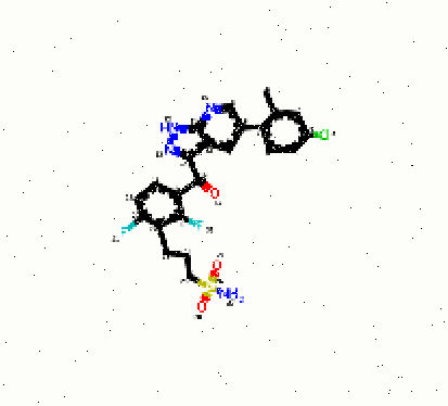 Cc1cc(Cl)ccc1-c1cnc2[nH]nc(C(=O)c3ccc(F)c(CCCS(N)(=O)=O)c3F)c2c1